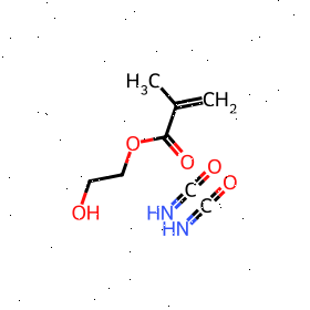 C=C(C)C(=O)OCCO.N=C=O.N=C=O